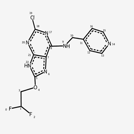 FC(F)COc1nc2c(NCc3ccncc3)nc(Cl)nc2[nH]1